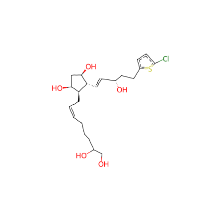 OCC(O)CCC/C=C\C[C@@H]1[C@@H](C=C[C@@H](O)CCc2ccc(Cl)s2)[C@H](O)C[C@@H]1O